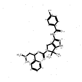 CN(C)CC(OC(=O)N1Cc2c(NC(=O)c3ccc(F)cc3)n[nH]c2C1(C)C)c1ccccn1